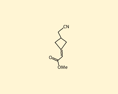 COC(=O)C=C1CC(CC#N)C1